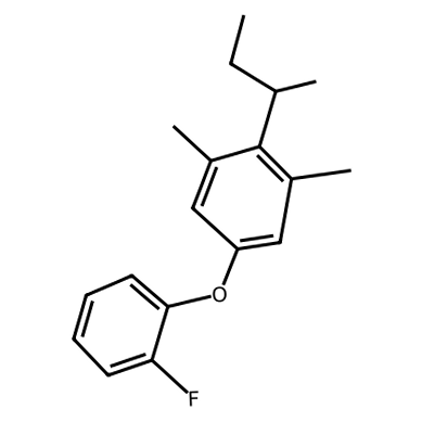 CCC(C)c1c(C)cc(Oc2ccccc2F)cc1C